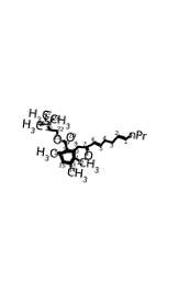 CCC/C=C/CC/C=C/C(=O)Cc1c(C)c(C)cc(C)c1C(=O)OCC[Si](C)(C)C